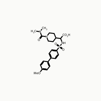 COc1ccc(-c2ccc(S(=O)(=O)NC(C(=O)O)C3CCN(C(=O)N(C)C)CC3)cc2)cc1